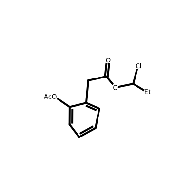 CCC(Cl)OC(=O)Cc1ccccc1OC(C)=O